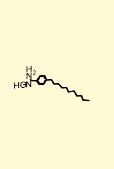 CCCCCCCCCCCc1ccc(/C(N)=N/O)cc1